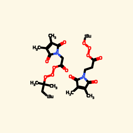 CC1=C(C)C(=O)N(CC(=O)OOOC(C)(C)CC(C)(C)C)C1=O.CC1=C(C)C(=O)N(CCC(=O)OOOC(C)(C)C)C1=O